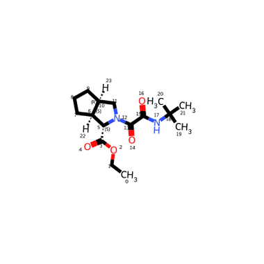 CCOC(=O)[C@@H]1[C@H]2CCC[C@H]2CN1C(=O)C(=O)NC(C)(C)C